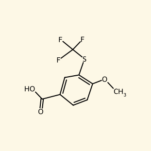 COc1ccc(C(=O)O)cc1SC(F)(F)F